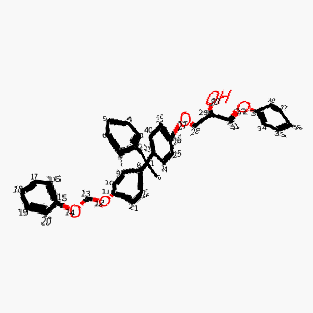 CC(c1ccccc1)(c1ccc(OCOc2ccccc2)cc1)c1ccc(OCC(O)COc2ccccc2)cc1